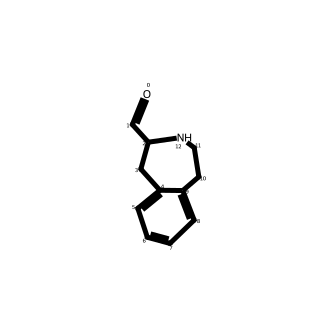 O=[C]C1Cc2ccccc2CCN1